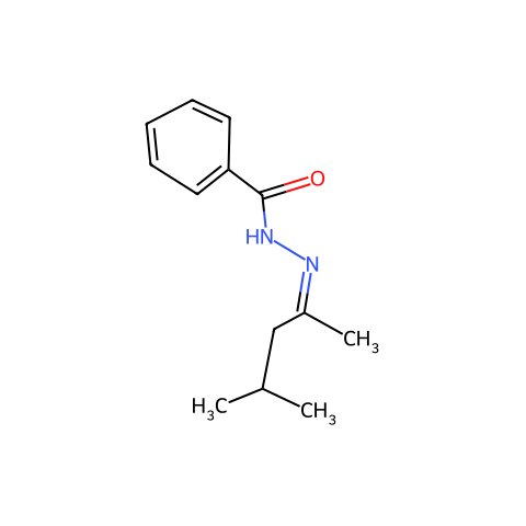 CC(CC(C)C)=NNC(=O)c1ccccc1